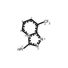 CCCc1nnc2c(C(F)(F)F)cccn12